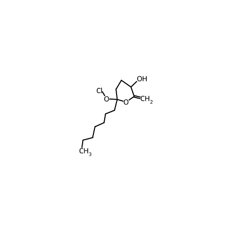 C=C1OC(CCCCCCC)(OCl)CCC1O